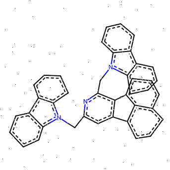 c1cc2c3c(cccc3c1)-c1c-2cc(Cn2c3ccccc3c3ccccc32)nc1Cn1c2ccccc2c2ccccc21